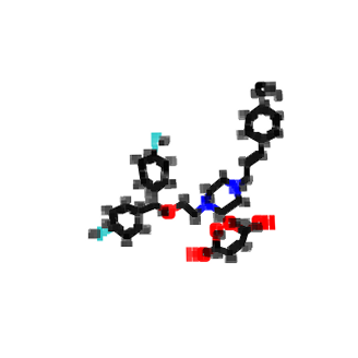 Cc1ccc(C=CCN2CCN(CCOC(c3ccc(F)cc3)c3ccc(F)cc3)CC2)cc1.O=C(O)/C=C\C(=O)O